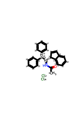 CC(=O)[NH][Hf+2]([CH]1C=Cc2ccccc21)[SiH](c1ccccc1)c1ccccc1.[Cl-].[Cl-]